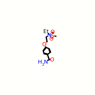 CCN(CCOc1ccc(C(N)=O)cc1)S(C)(=O)=O